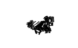 CCn1c(=O)c(-c2c(Cl)cccc2S(C)(=O)=O)cc2cnc(Nc3ccc(N4CCN(C)CC4)cc3)nc21